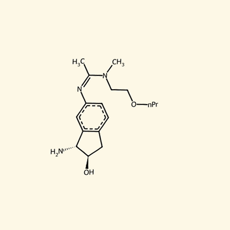 CCCOCCN(C)C(C)=Nc1ccc2c(c1)[C@@H](N)[C@H](O)C2